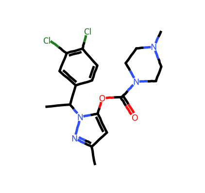 Cc1cc(OC(=O)N2CCN(C)CC2)n(C(C)c2ccc(Cl)c(Cl)c2)n1